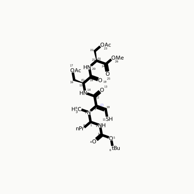 CCCC(NC(=O)OC(C)(C)C)N(C)/C(=C\S)C(=O)N[C@@H](COC(C)=O)C(=O)N[C@@H](COC(C)=O)C(=O)OC